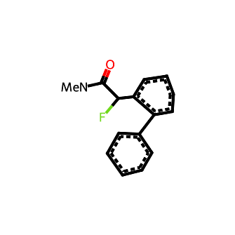 CNC(=O)C(F)c1ccccc1-c1ccccc1